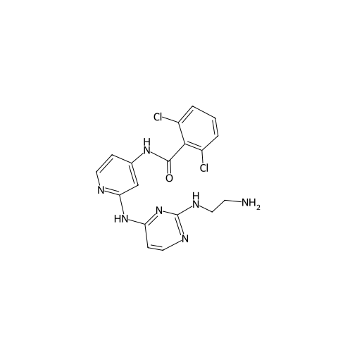 NCCNc1nccc(Nc2cc(NC(=O)c3c(Cl)cccc3Cl)ccn2)n1